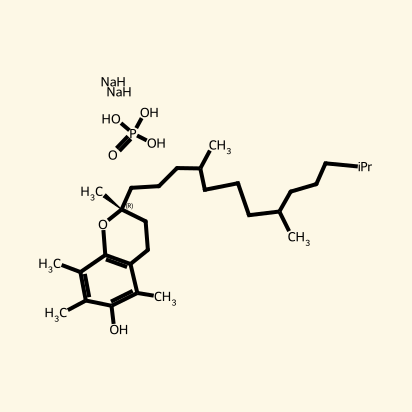 Cc1c(C)c2c(c(C)c1O)CC[C@@](C)(CCCC(C)CCCC(C)CCCC(C)C)O2.O=P(O)(O)O.[NaH].[NaH]